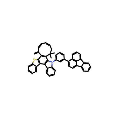 C=C1/C=C\C=C/CC(C)(C)c2c1c1sc3ccccc3c1c1c3ccccc3n(-c3cccc(-c4ccc5c6c(cccc46)-c4ccccc4-5)c3)c21